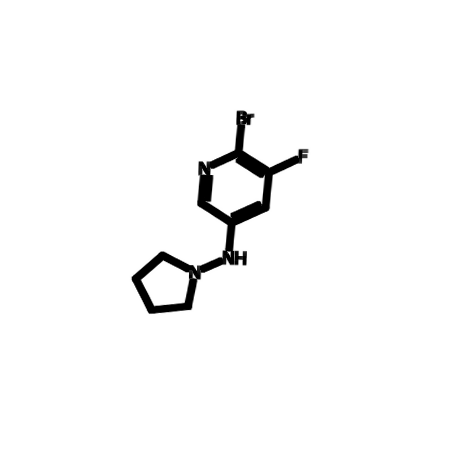 Fc1cc(NN2CCCC2)cnc1Br